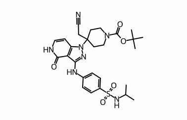 CC(C)NS(=O)(=O)c1ccc(Nc2nn(C3(CC#N)CCN(C(=O)OC(C)(C)C)CC3)c3cc[nH]c(=O)c23)cc1